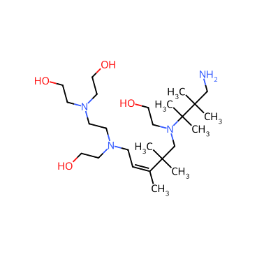 C/C(=C/CN(CCO)CCN(CCO)CCO)C(C)(C)CN(CCO)C(C)(C)C(C)(C)CN